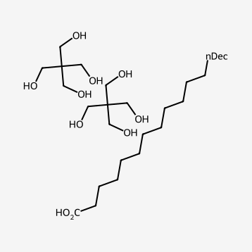 CCCCCCCCCCCCCCCCCCCCCC(=O)O.OCC(CO)(CO)CO.OCC(CO)(CO)CO